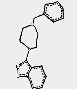 c1ccc(CN2CCN(c3nsc4ccccc34)CC2)cc1